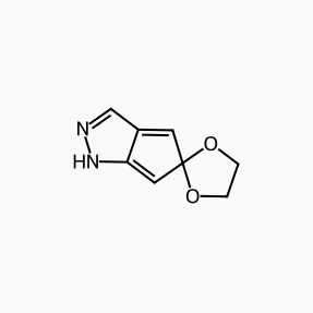 C1=c2cn[nH]c2=CC12OCCO2